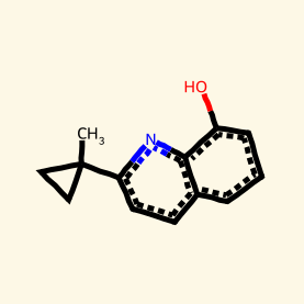 CC1(c2ccc3cccc(O)c3n2)CC1